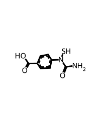 NC(=O)N(S)c1ccc(C(=O)O)cc1